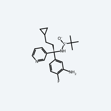 CC(C)(C)[S+]([O-])N[C@@](CCC1CC1)(c1cccnc1)c1ccc(F)c(N)c1